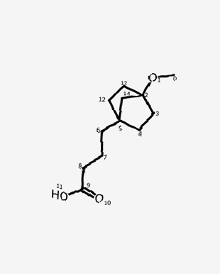 COC12CCC(CCCC(=O)O)(CC1)C2